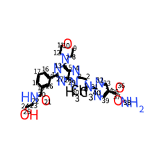 CN(Cc1nc2c(N3CCOCC3)nc(-c3cccc(C(=O)NCCO)c3)nc2n1C)c1ncc(C(=O)ON)cn1